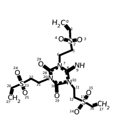 C=CS(=O)(=O)CCn1c(=N)n(CCS(=O)(=O)C=C)c(=O)n(CCS(=O)(=O)C=C)c1=O